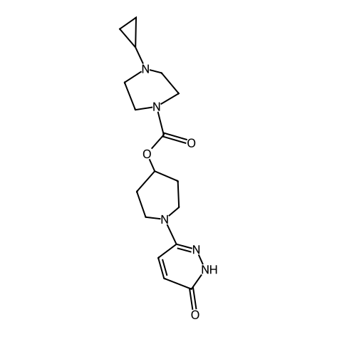 O=C(OC1CCN(c2ccc(=O)[nH]n2)CC1)N1CCN(C2CC2)CC1